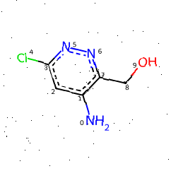 Nc1cc(Cl)nnc1CO